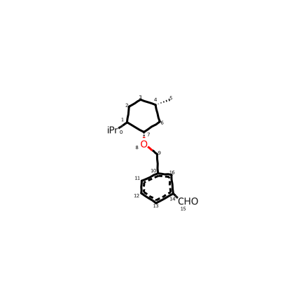 CC(C)C1CC[C@H](C)C[C@@H]1OCc1cccc(C=O)c1